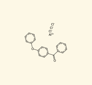 O=C(c1ccccc1)c1ccc(Oc2ccccc2)cc1.[Al+3].[Cl-].[Cl-].[Cl-]